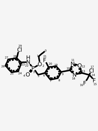 CCOP(=O)(Cc1ccc(-c2noc(C(F)(F)Cl)n2)cc1F)Nc1ccccc1Cl